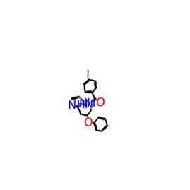 O=C(NCC(Cc1ncc[nH]1)Oc1ccccc1)c1ccc(I)cc1